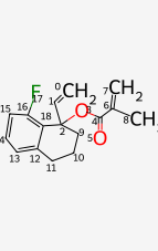 C=CC1(OC(=O)C(=C)C)CCCc2cccc(F)c21